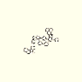 CC1(C)c2ccc(-c3ccc4sc5ccc(-c6ccc7c(c6)c6ccccc6c6cc(-c8ccccc8)c8sc9c%10cccc%11c%10c(cc9c8c76)CC=C%11)c(-c6ccccc6)c5c4c3)cc2-c2c1ccc1ccccc21